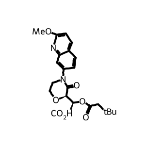 COc1ccc2ccc(N3CCO[C@H]([C@@H](OC(=O)CC(C)(C)C)C(=O)O)C3=O)cc2n1